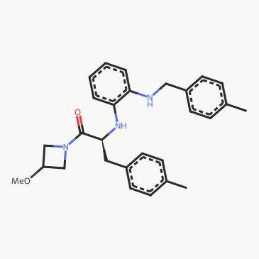 COC1CN(C(=O)[C@H](Cc2ccc(C)cc2)Nc2ccccc2NCc2ccc(C)cc2)C1